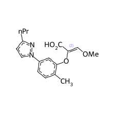 CCCc1ccn(-c2ccc(C)c(O/C(=C\OC)C(=O)O)c2)n1